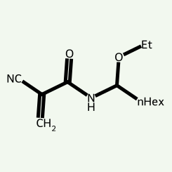 C=C(C#N)C(=O)NC(CCCCCC)OCC